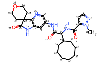 Cn1nccc1C(=O)NC(C(=O)Nc1cnc2c(c1)NC(=O)C21CCOCC1)C1CCCCCCC1